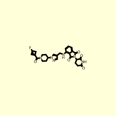 O=C1CCC(N2C(=O)c3cccc(NCc4cnn(C5CCN(C(=O)C67CC(F)(C6)C7)CC5)c4)c3C2=O)C(=O)N1